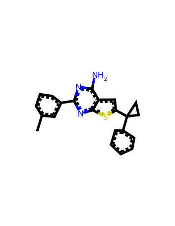 Cc1cccc(-c2nc(N)c3cc(C4(c5ccccc5)CC4)sc3n2)c1